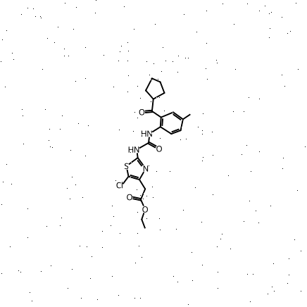 CCOC(=O)Cc1nc(NC(=O)Nc2ccc(C)cc2C(=O)C2CCCC2)sc1Cl